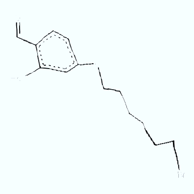 O=Cc1ccc(OCCCCCCBr)cc1O